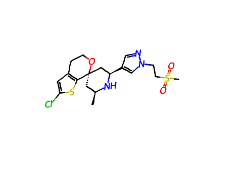 C[C@H]1C[C@@]2(C[C@@H](c3cnn(CCS(C)(=O)=O)c3)N1)OCCc1cc(Cl)sc12